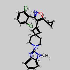 Cn1c(N2CCC3(C=C(c4c(-c5c(Cl)cccc5Cl)noc4C4CC4)C3)CC2)nc2ccccc21